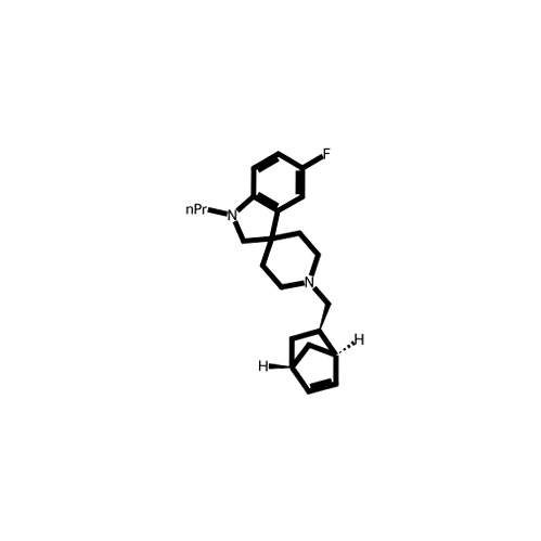 CCCN1CC2(CCN(C[C@@H]3C[C@H]4C=C[C@H]3C4)CC2)c2cc(F)ccc21